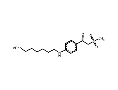 CCCCCCCCCCCCCCCCNc1ccc(C(=O)CS(C)(=O)=O)cc1